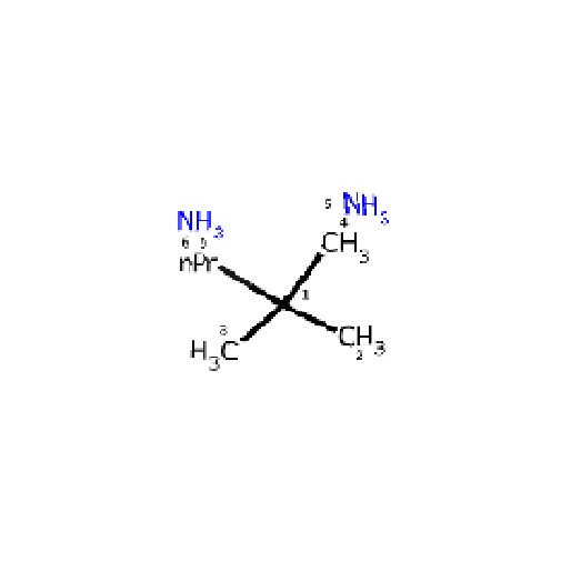 CCCC(C)(C)C.N.N